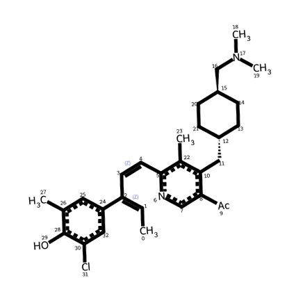 C/C=C(/C=C\c1ncc(C(C)=O)c(C[C@H]2CC[C@H](CN(C)C)CC2)c1C)c1cc(C)c(O)c(Cl)c1